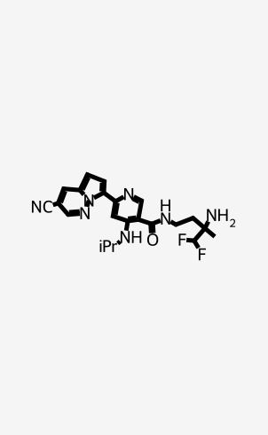 CC(C)Nc1cc(-c2ccc3cc(C#N)cnn23)ncc1C(=O)NCCC(C)(N)C(F)F